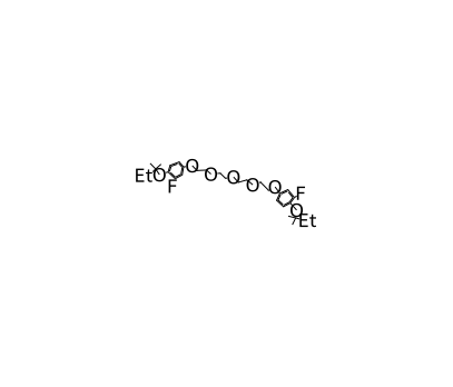 CCC(C)(C)Oc1ccc(OCCOCCOCCOCCOc2ccc(OC(C)(C)CC)c(F)c2)cc1F